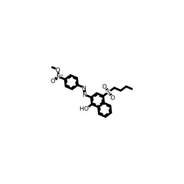 CCCCS(=O)(=O)c1cc(/N=N/c2ccc([N+](=O)OC)cc2)c(O)c2ccccc12